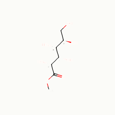 CC(=O)OOC(=O)[C@H](O)[C@@H](O)[C@H](O)[C@H](O)CO